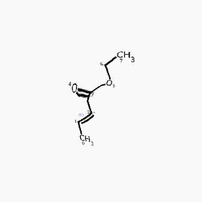 C/C=[C]/C(=O)OCC